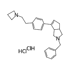 C1=C(c2ccc(CCN3CCC3)cc2)C2CN(Cc3ccccc3)CC2C1.Cl.Cl